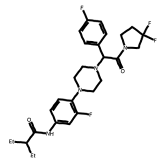 CCC(CC)C(=O)Nc1ccc(N2CCN(C(C(=O)N3CCC(F)(F)C3)c3ccc(F)cc3)CC2)c(F)c1